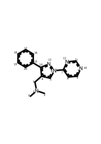 CN(C)Cc1cn(-c2ccncn2)nc1-c1ccccc1